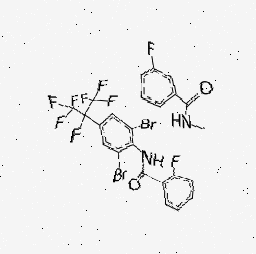 CNC(=O)c1cccc(F)c1.O=C(Nc1c(Br)cc(C(F)(C(F)(F)F)C(F)(F)F)cc1Br)c1ccccc1F